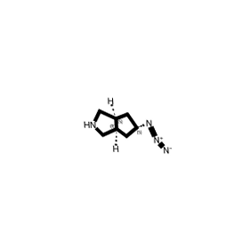 [N-]=[N+]=N[C@@H]1C[C@H]2CNC[C@H]2C1